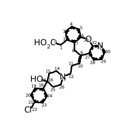 O=C(O)Cc1cccc2c1CC(=CCCN1CCC(O)(c3ccc(Cl)cc3)CC1)c1cccnc1O2